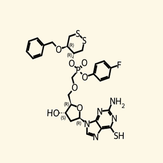 Nc1nc(S)c2ncn([C@H]3C[C@H](O)[C@@H](COCP(=O)(Oc4ccc(F)cc4)O[C@H]4CSSC[C@@H]4OCc4ccccc4)O3)c2n1